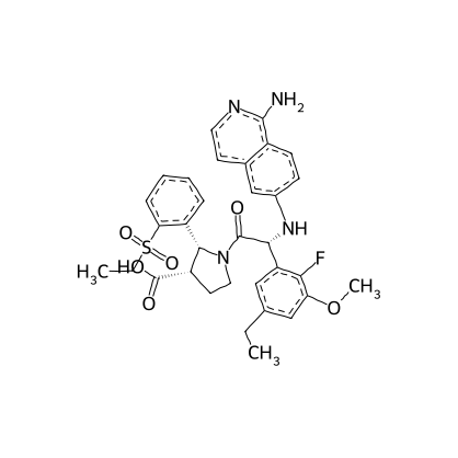 CCc1cc(OC)c(F)c([C@@H](Nc2ccc3c(N)nccc3c2)C(=O)N2CC[C@H](C(=O)O)[C@@H]2c2ccccc2S(=O)(=O)CC)c1